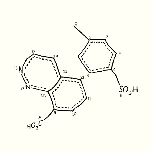 Cc1ccc(S(=O)(=O)O)cc1.O=C(O)c1cccc2ccnnc12